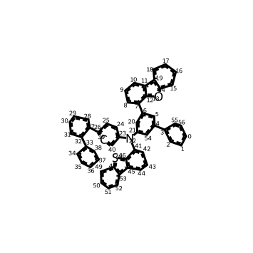 c1ccc(-c2cc(-c3cccc4c3oc3ccccc34)cc(N(c3ccc(-c4ccccc4-c4ccccc4)cc3)c3cccc4c3sc3ccccc34)c2)cc1